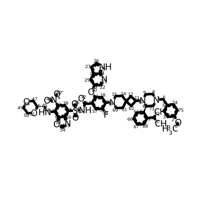 COc1ccc(CN2CCN(C3CC4(CCN(c5cc(Oc6cnc7[nH]ccc7c6)c(C(=O)NS(=O)(=O)c6cc([N+](=O)[O-])c(NC[C@H]7COCCO7)c7ocnc67)cc5F)CC4)C3)[C@H](c3ccccc3C(C)C)C2)cc1